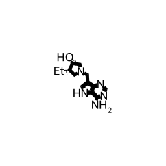 CC[C@H]1CN(Cc2c[nH]c3c(N)ncnc23)C[C@H]1O